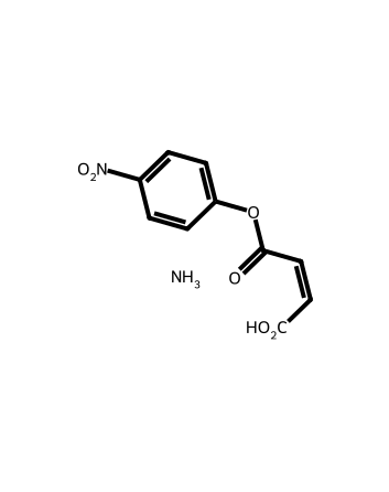 N.O=C(O)/C=C\C(=O)Oc1ccc([N+](=O)[O-])cc1